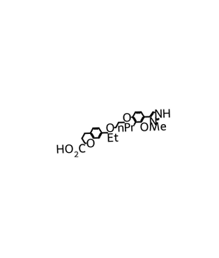 CCCc1c(OCCCOC(CC)c2ccc3c(c2)OC(C(=O)O)CC3)ccc(-c2c[nH]cn2)c1OC